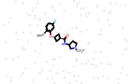 COc1ccc(F)cc1O[C@H]1C[C@H](C(=O)NC2CCN(C(=O)O)C2)C1